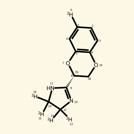 [2H]c1ccc2c(c1)O[C@@H](C1=NC([2H])([2H])C([2H])([2H])N1)CO2